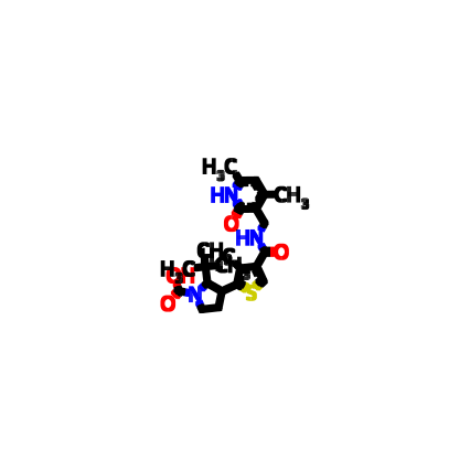 Cc1cc(C)c(CNC(=O)c2csc(C3CCN(C(=O)O)C3C(C)(C)C)c2C)c(=O)[nH]1